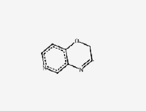 [C]1=Nc2cnccc2OC1